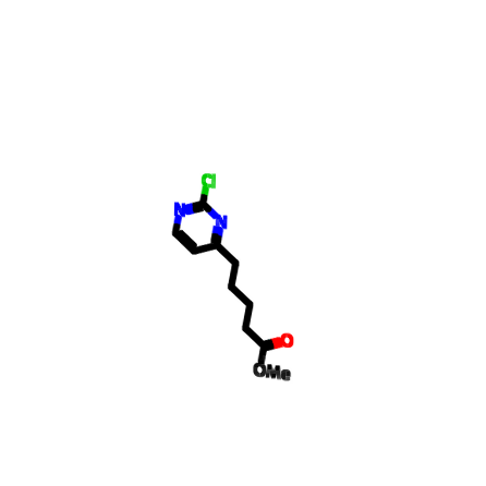 COC(=O)CCCCc1ccnc(Cl)n1